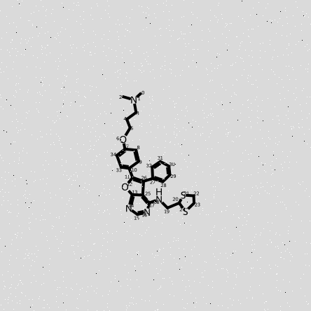 CN(C)CCCOc1ccc(-c2oc3ncnc(NCC4SCCS4)c3c2-c2ccccc2)cc1